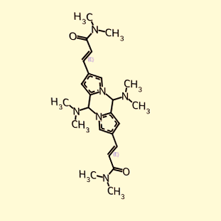 CN(C)C(=O)/C=C/c1cc2n(c1)C(N(C)C)c1cc(/C=C/C(=O)N(C)C)cn1C2N(C)C